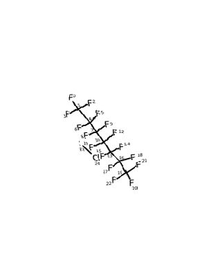 FC(F)(F)C(F)(F)C(F)(F)C(F)(F)C(F)(F)C(F)(F)C(F)(F)F.[C]Cl